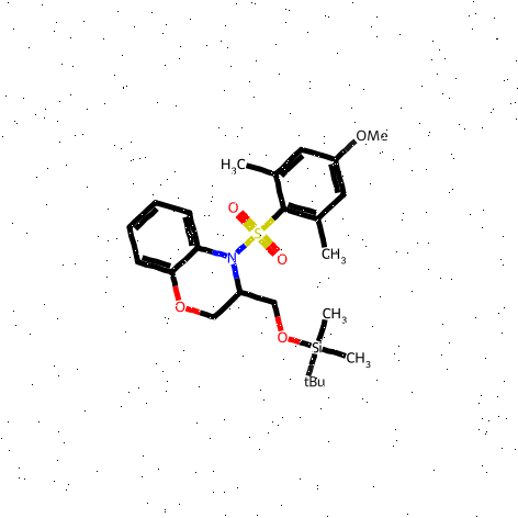 COc1cc(C)c(S(=O)(=O)N2c3ccccc3OCC2CO[Si](C)(C)C(C)(C)C)c(C)c1